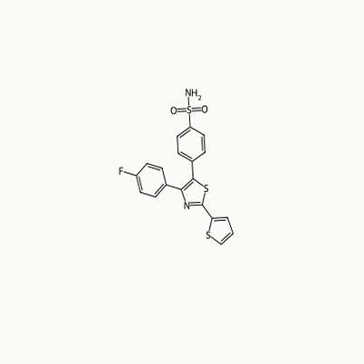 NS(=O)(=O)c1ccc(-c2sc(-c3cccs3)nc2-c2ccc(F)cc2)cc1